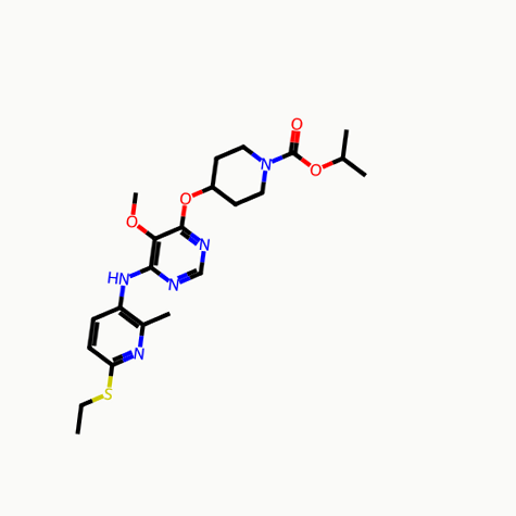 CCSc1ccc(Nc2ncnc(OC3CCN(C(=O)OC(C)C)CC3)c2OC)c(C)n1